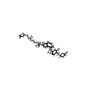 O=C(/C=C/c1cccs1)NCCNC(=O)c1nc2c(Nc3ccc(OCc4cccc(F)c4)c(Cl)c3)ncnc2s1